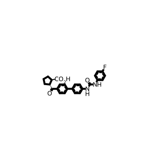 O=C(Nc1ccc(F)cc1)Nc1ccc(-c2ccc(C(=O)[C@@H]3CCC[C@H]3C(=O)O)cc2)cc1